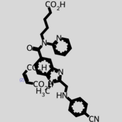 Cn1c(CNc2ccc(C#N)cc2)nc2cc(C(=O)N(CCCCC(=O)O)c3ccccn3)ccc21.O=C(O)/C=C\C(=O)O